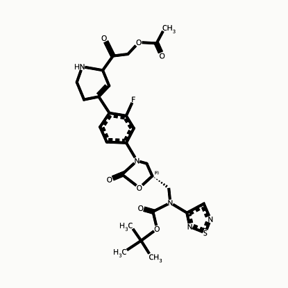 CC(=O)OCC(=O)C1C=C(c2ccc(N3C[C@H](CN(C(=O)OC(C)(C)C)c4cnsn4)OC3=O)cc2F)CCN1